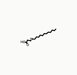 CCCCCCCCCCCCN=CCC(=O)O